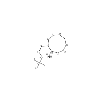 CC(C)(C)C1CCC2CCCCCCCC2N1